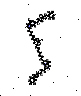 CC(=O)OC(CCCCCCCC/C=C\C1(/C=C\CCCCCOCc2ccccc2)CC1)CCCCCCCC/C=C\C1(/C=C\CCCCC(=O)OCc2ccccc2)CC1